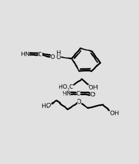 N=C=O.N=C=O.O=C(O)CO.OCCOCCO.Oc1ccccc1